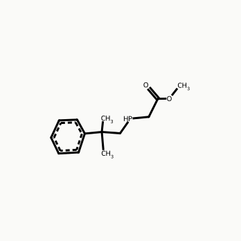 COC(=O)CPCC(C)(C)c1ccccc1